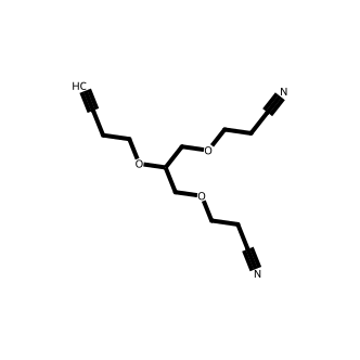 C#CCCOC(COCCC#N)COCCC#N